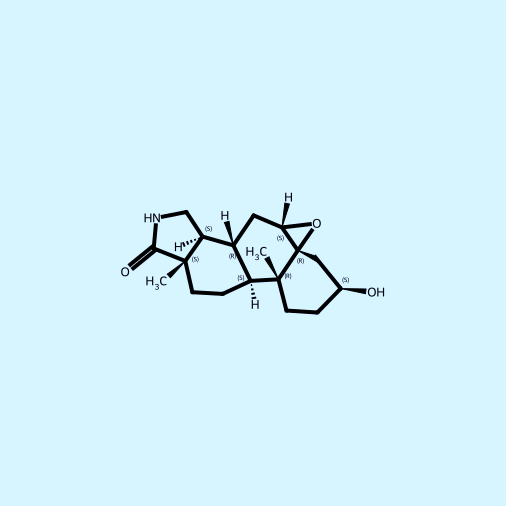 C[C@]12CC[C@H]3[C@@H](C[C@@H]4O[C@@]45C[C@@H](O)CC[C@]35C)[C@@H]1CNC2=O